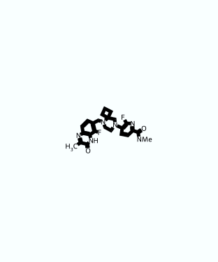 CNC(=O)c1ccc(N2CCN(Cc3ccc4nc(C)c(=O)[nH]c4c3F)C3(CCC3)C2)c(F)n1